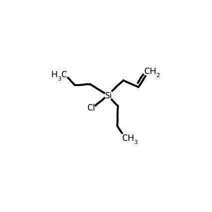 C=CC[Si](Cl)(CCC)CCC